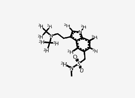 [2H]c1c(CS(=O)(=O)N([2H])C)c([2H])c2c(CCN(C([2H])([2H])[2H])C([2H])([2H])[2H])c([2H])n([2H])c2c1[2H]